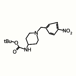 CC(C)(C)OC(=O)NC1CCN(Cc2ccc([N+](=O)[O-])cc2)CC1